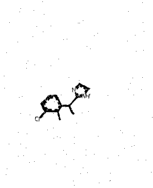 Cc1c(Cl)cccc1C(C)c1ncc[nH]1